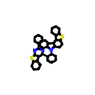 c1ccc(-c2nc(-c3ccccc3-n3c4ccccc4c4c5c(ccc43)sc3ccccc35)c3c(n2)sc2ccccc23)cc1